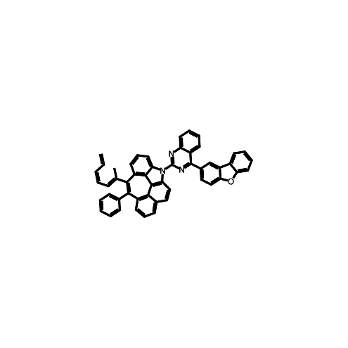 C=C/C=C\C=C(/C)C1=C(c2ccccc2)c2cccc3ccc4c(c23)c2c1cccc2n4-c1nc(-c2ccc3oc4ccccc4c3c2)c2ccccc2n1